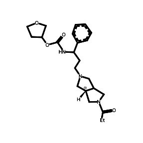 CCC(=O)N1CC2CN(CCC(NC(=O)OC3CCOC3)c3ccccc3)C[C@H]2C1